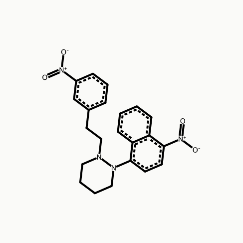 O=[N+]([O-])c1cccc(CCN2CCCCN2c2ccc([N+](=O)[O-])c3ccccc23)c1